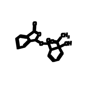 CC(=O)C1(O)C=CC=CC1C(=O)OC1OC(=O)c2ccccc21